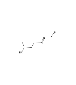 CC(C)CN=NCCC(C)C#N